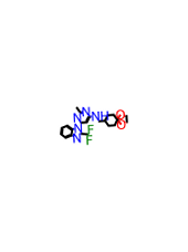 Cc1nc(NCC2CCC3(CC2)OCCO3)cc(-n2c(C(F)F)nc3ccccc32)n1